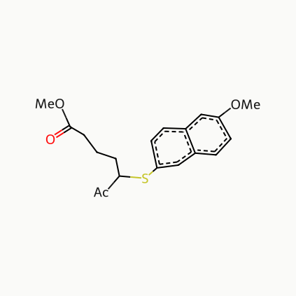 COC(=O)CCCC(Sc1ccc2cc(OC)ccc2c1)C(C)=O